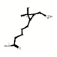 COC(=O)CCCCC1C(CC(=O)O)C1(C)C